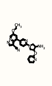 CCOc1cc(-c2ccc(N3CC(N)C(Oc4ccccn4)C3)nc2)c2c(C#N)cnn2c1